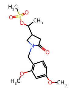 COc1ccc(CN2CC(C(C)OS(C)(=O)=O)CC2=O)c(OC)c1